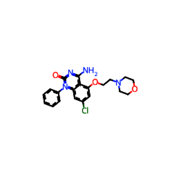 Nc1nc(=O)n(-c2ccccc2)c2cc(Cl)cc(OCCN3CCOCC3)c12